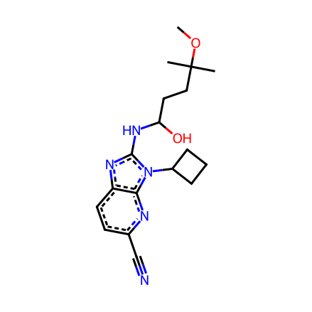 COC(C)(C)CCC(O)Nc1nc2ccc(C#N)nc2n1C1CCC1